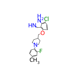 Cc1ccc(N2CCC(COc3ccc(Cl)c(N)c3C=N)CC2)c(F)c1